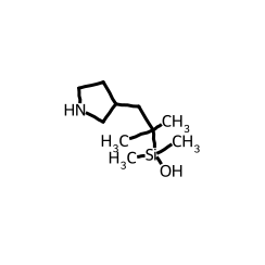 CC(C)(CC1CCNC1)[Si](C)(C)O